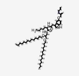 C=C/C=C\C(=C)COc1ccc2[nH]cc(CC(=O)NC(CCCCN)C(=O)NCC(COCCCCCCCCCCCCCC)OCCCCCCCCCCCCCC)c2c1